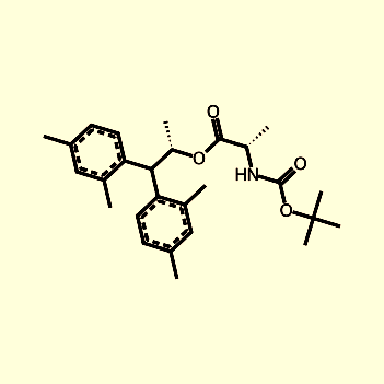 Cc1ccc(C(c2ccc(C)cc2C)[C@H](C)OC(=O)[C@H](C)NC(=O)OC(C)(C)C)c(C)c1